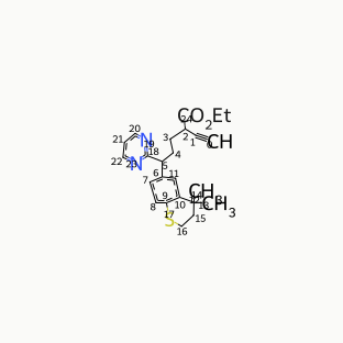 C#CC(CCC(c1ccc2c(c1)C(C)(C)CCS2)c1ncccn1)C(=O)OCC